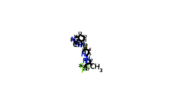 Cc1cn(-c2ccc(SNc3cccc4cnn(C)c34)cn2)nc1C(F)(F)F